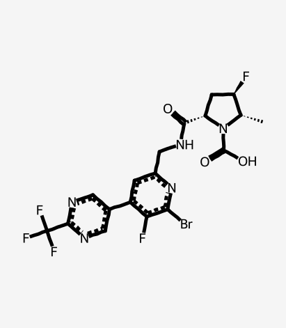 C[C@H]1[C@H](F)C[C@@H](C(=O)NCc2cc(-c3cnc(C(F)(F)F)nc3)c(F)c(Br)n2)N1C(=O)O